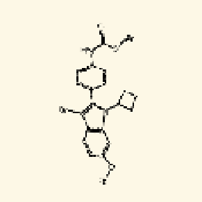 CCOc1ccc2c(Br)c(-c3ccc(NC(=O)OC(C)C)cc3)n(C3CCC3)c2c1